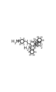 NC1=C(C=Cc2ccc(N)cc2)C=C(Cc2ccccc2)C(N)(N)C1Cc1ccccc1